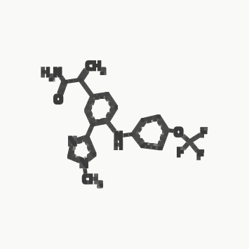 C=C(C(N)=O)c1ccc(Nc2ccc(OC(F)(F)F)cc2)c(-c2cn(C)cn2)c1